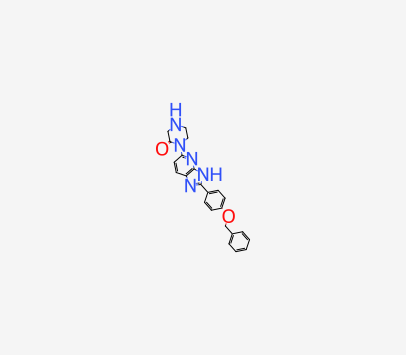 O=C1CNCCN1c1ccc2nc(-c3ccc(OCc4ccccc4)cc3)[nH]c2n1